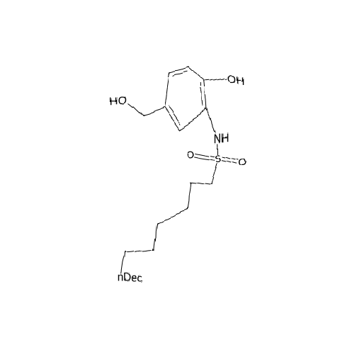 CCCCCCCCCCCCCCCCS(=O)(=O)Nc1cc(CO)ccc1O